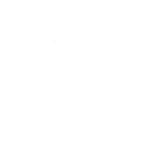 O=C(O)CCCC=CCCI